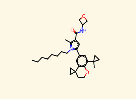 CCCCCCCCn1c(-c2cc(C3(C)CC3)c3c(c2)C2(CCO3)CC2)cc(C(=O)NC2COC2)c1C